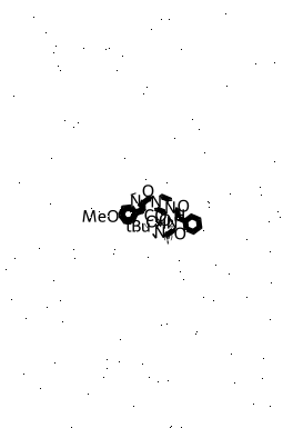 COc1ccc2c(C(=O)O)c(C(=O)N3CCN(C(=O)[C@@H](NC(=O)[C@H](C)N(C)C(=O)OC(C)(C)C)C4CCCCC4)CC3)n(C)c2c1